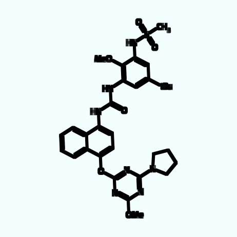 COc1nc(Oc2ccc(NC(=O)Nc3cc(C(C)(C)C)cc(NS(C)(=O)=O)c3OC)c3ccccc23)nc(N2CCCC2)n1